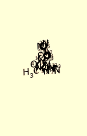 CCC1C(=O)N(C)c2cnc(-n3ccnc3)nc2N1c1cccc(-c2cncnc2)c1